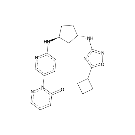 O=c1cccnn1-c1ccc(N[C@H]2CC[C@H](Nc3noc(C4CCC4)n3)C2)nc1